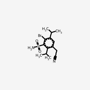 CC(C)c1cc(CC#N)c(C(C)C)c(S(N)(=O)=O)c1Br